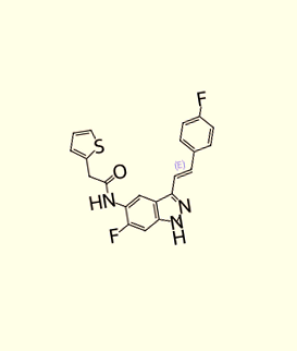 O=C(Cc1cccs1)Nc1cc2c(/C=C/c3ccc(F)cc3)n[nH]c2cc1F